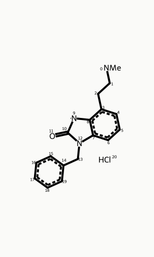 CNCCc1cccc2c1[N]C(=O)N2Cc1ccccc1.Cl